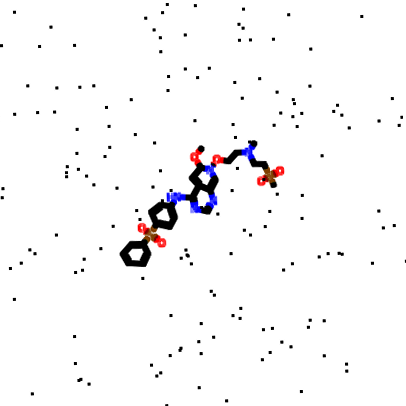 COC1C=c2c(Nc3ccc(S(=O)(=O)c4ccccc4)cc3)ncnc2=CN1OCCN(C)CCS(C)(=O)=O